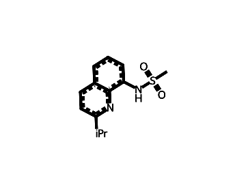 CC(C)c1ccc2cccc(NS(C)(=O)=O)c2n1